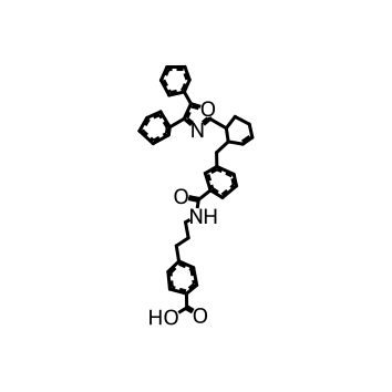 O=C(O)c1ccc(CCCNC(=O)c2cccc(CC3C=CCCC3c3nc(-c4ccccc4)c(-c4ccccc4)o3)c2)cc1